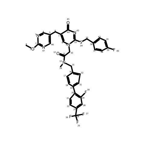 COc1ncc(Cc2cn(CC(=O)N(C)Cc3ccc(-c4ccc(C(F)(F)F)cc4F)cc3)c(SCc3ccc(F)cc3)nc2=O)cn1